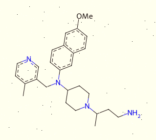 COc1ccc2cc(N(Cc3cnccc3C)C3CCN(C(C)CCN)CC3)ccc2c1